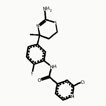 CC1(c2ccc(F)c(NC(=O)c3ccnc(Cl)c3)c2)CCSC(N)=N1